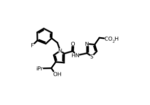 CC(C)C(O)c1cc(C(=O)Nc2nc(CC(=O)O)cs2)n(Cc2cccc(F)c2)c1